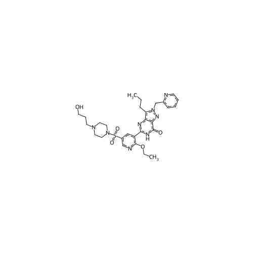 CCCc1c2nc(-c3cc(S(=O)(=O)N4CCN(CCCO)CC4)cnc3OCC)[nH]c(=O)c2nn1Cc1ccccn1